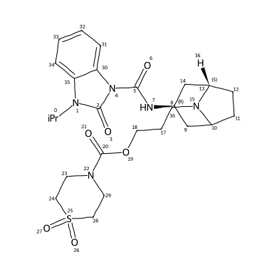 CC(C)n1c(=O)n(C(=O)N[C@@H]2CC3CC[C@@H](C2)N3CCCOC(=O)N2CCS(=O)(=O)CC2)c2ccccc21